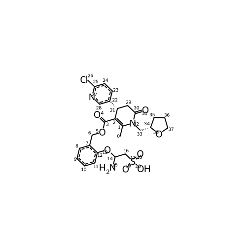 CC1=C(C(=O)OCc2ccccc2OC(N)CS(=O)(=O)O)[C@H](c2ccc(Cl)nc2)CC(=O)N1C[C@@H]1CCCO1